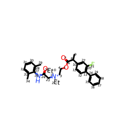 CC[N+](CC)(CCOC(=O)C(C)c1ccc(-c2ccccc2)c(F)c1)CC(=O)Nc1c(C)cccc1C